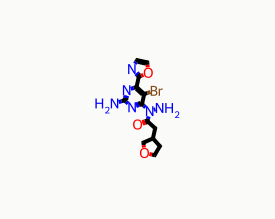 Nc1nc(-c2ncco2)c(Br)c(N(N)C(=O)CC2CCOC2)n1